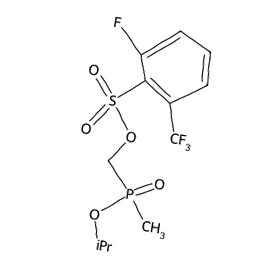 CC(C)OP(C)(=O)COS(=O)(=O)c1c(F)cccc1C(F)(F)F